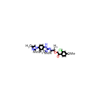 C=N/C(=N\C(NC)=C(/C)OCC(=O)c1ccc(OC)cc1Cl)Nc1ccc(-n2cnc(C)c2)c(OC)c1